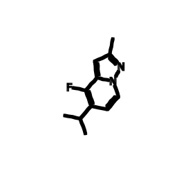 Cc1cc2c(F)c(C(C)C)ccn2n1